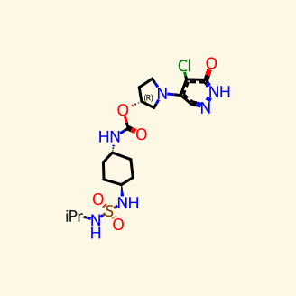 CC(C)NS(=O)(=O)N[C@H]1CC[C@H](NC(=O)O[C@@H]2CCN(c3cn[nH]c(=O)c3Cl)C2)CC1